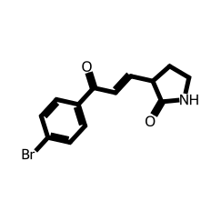 O=C(C=CC1CCNC1=O)c1ccc(Br)cc1